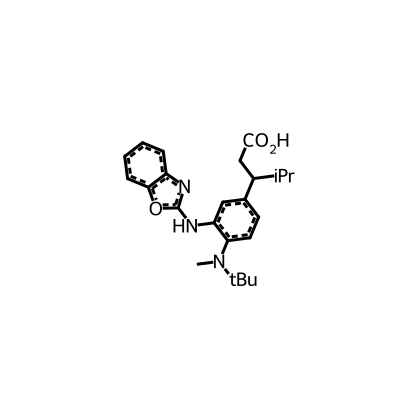 CC(C)C(CC(=O)O)c1ccc(N(C)C(C)(C)C)c(Nc2nc3ccccc3o2)c1